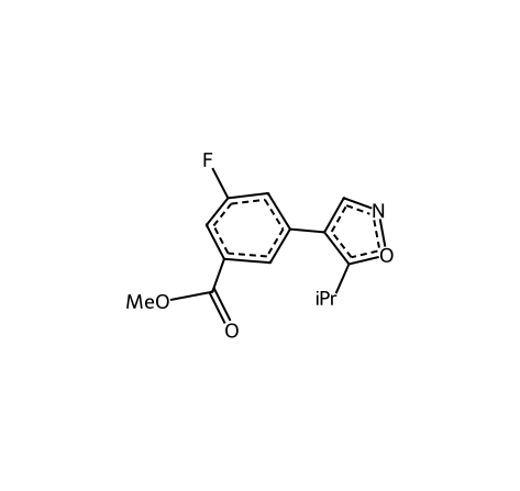 COC(=O)c1cc(F)cc(-c2cnoc2C(C)C)c1